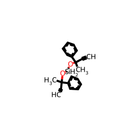 C#CC(C)(O[SiH2]OC(C)(C#C)c1ccccc1)c1ccccc1